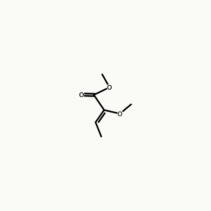 CC=C(OC)C(=O)OC